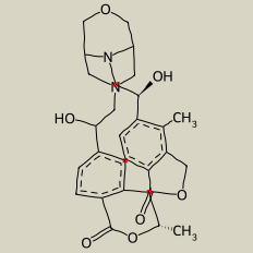 Cc1c([C@H](O)CN2C3COCC2CN(CC(O)c2ccc4c(c2)C[C@H](C)OC4=O)C3)ccc2c1COC2=O